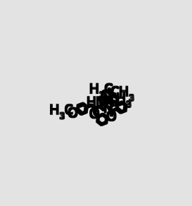 COc1ccc(CC(OC2CCCCC2)C(CNC(=O)c2ccccc2O)NC(=O)OC(C)(C)C)cc1